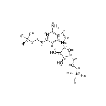 Nc1nc(SCCC(F)(F)F)nc2c1ncn2[C@@H]1O[C@H](COCC(F)(F)F)[C@@H](O)[C@H]1O